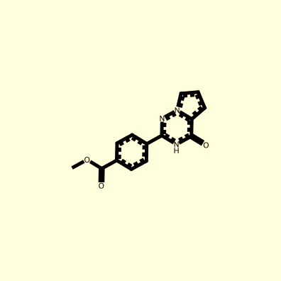 COC(=O)c1ccc(-c2nn3cccc3c(=O)[nH]2)cc1